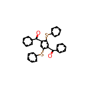 O=C(c1ccccc1)c1cc(Sc2ccccc2)c(C(=O)c2ccccc2)cc1Sc1ccccc1